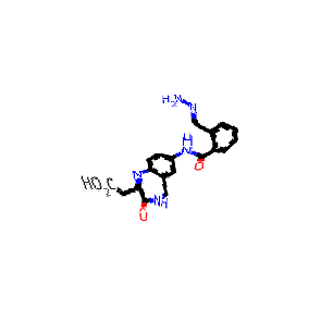 NN=Cc1ccccc1C(=O)Nc1ccc2c(c1)CNC(=O)C(CC(=O)O)=N2